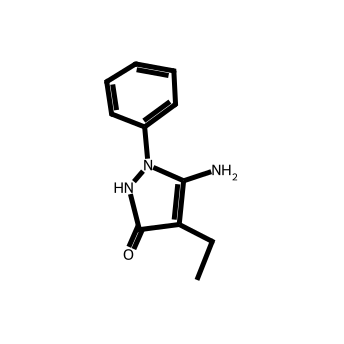 CCc1c(N)n(-c2ccccc2)[nH]c1=O